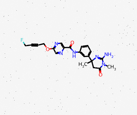 CN1C(=O)CC(C)(c2cccc(NC(=O)c3cnc(OCC#CCF)cn3)c2)N=C1N